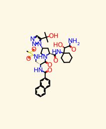 CC(C)(O)c1cnnn1[C@H]1C[C@@H](C(=O)NC2(C(O)C(N)=O)CCCCC2)N(C(=O)[C@@H](CNS(C)(=O)=O)NC(=O)c2ccc3ccccc3c2)C1